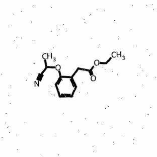 CCOC(=O)Cc1ccccc1OC(C)C#N